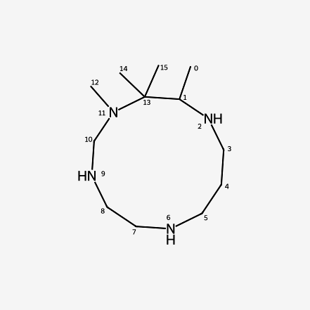 CC1NCCCNCCNCN(C)C1(C)C